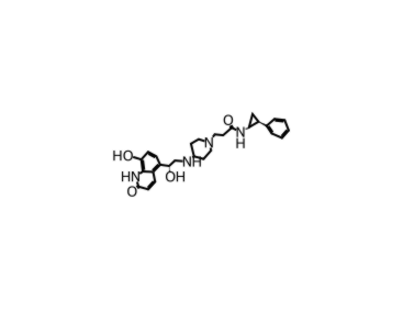 O=C(CCN1CCC(NC[C@H](O)c2ccc(O)c3[nH]c(=O)ccc23)CC1)N[C@@H]1C[C@H]1c1ccccc1